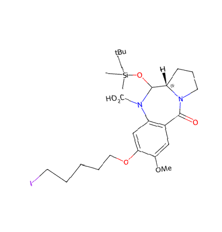 COc1cc2c(cc1OCCCCCI)N(C(=O)O)C(O[Si](C)(C)C(C)(C)C)[C@@H]1CCCN1C2=O